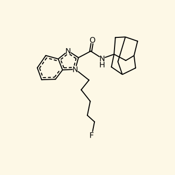 O=C(NC12CC3CC(CC(C3)C1)C2)c1nc2ccccc2n1CCCCCF